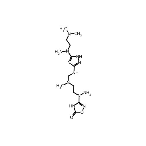 CN(C)CCN(N)c1nc(NCN(C)CCN(N)c2noc(=O)[nH]2)n[nH]1